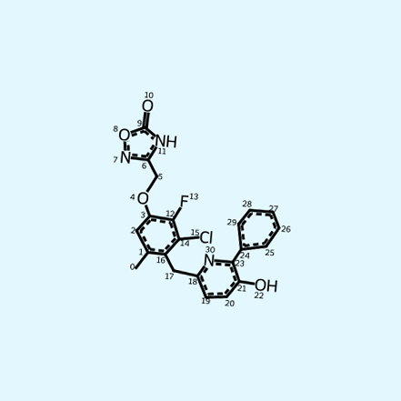 Cc1cc(OCc2noc(=O)[nH]2)c(F)c(Cl)c1Cc1ccc(O)c(-c2ccccc2)n1